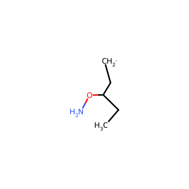 [CH2]CC(CC)ON